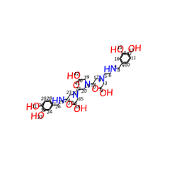 O=C(O)CN(CCNCc1ccc(O)c(O)c1)CCN(CCN(CCNCc1ccc(O)c(O)c1)CC(=O)O)CC(=O)O